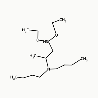 CCCCN(CCCC)C(C)C[SiH](OCC)OCC